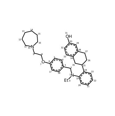 CCN(Cc1ccc(OCCN2CCCCCC2)cc1)c1ccccc1C1CCc2cc(O)ccc2C1